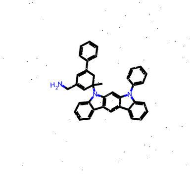 CC1(n2c3ccccc3c3cc4c5ccccc5n(-c5ccccc5)c4cc32)C=C(CN)C=C(c2ccccc2)C1